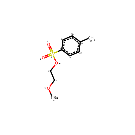 CCCCOCCOS(=O)(=O)c1ccc(C)cc1